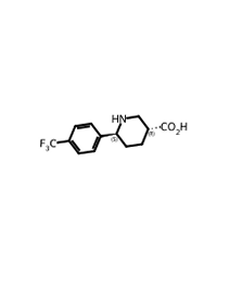 O=C(O)[C@@H]1CC[C@@H](c2ccc(C(F)(F)F)cc2)NC1